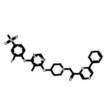 Cc1c(Oc2ccc(S(C)(=O)=O)cc2F)ncnc1OC1CCN(CC(=O)C2=COC=C(C3=CC=CCC3)O2)CC1